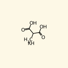 CC(C(=O)O)C(=O)O.[KH]